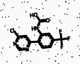 O=C(O)Nc1cc(C(F)(F)F)ccc1-c1cc(Cl)ncn1